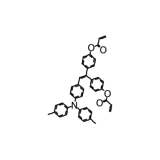 C=CC(=O)Oc1ccc(C(=Cc2ccc(N(c3ccc(C)cc3)c3ccc(C)cc3)cc2)c2ccc(OC(=O)C=C)cc2)cc1